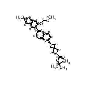 COCOc1cc2nn(C)cc2cc1-c1ccc2nc(N3CC4(CN(C(=O)OC(C)(C)C)C4)C3)ccc2n1